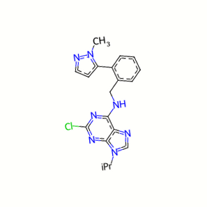 CC(C)n1cnc2c(NCc3ccccc3-c3ccnn3C)nc(Cl)nc21